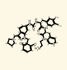 NCCNC(=O)[C@H](Cc1ccncc1)NC(=O)[C@H](Cc1ccc(F)c(F)c1)NC(=O)Nc1ccc2c(CN3CCCC3)nn(Cc3c(Cl)cccc3Cl)c2c1